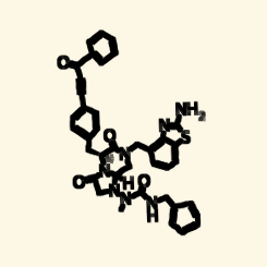 CN(C(=O)NCc1ccccc1)N1CC(=O)N2[C@@H](Cc3ccc(C#CC(=O)c4ccccc4)cc3)C(=O)N(Cc3cccc4sc(N)nc34)C[C@@H]21